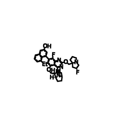 CCc1cccc2cc(O)cc(-c3cc4c5c(nc(OCC67CCCN6C[C@H](F)C7)nc5c3F)N3CC5CC[C@H](N5)[C@@H]3CO4)c12